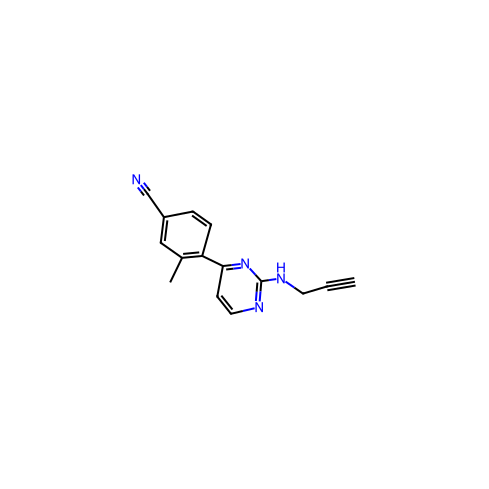 C#CCNc1nccc(-c2ccc(C#N)cc2C)n1